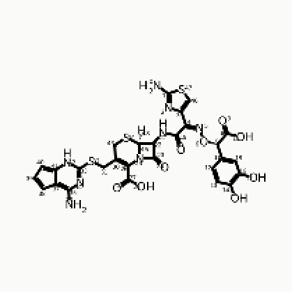 Nc1nc(/C(=N/O[C@@H](C(=O)O)c2ccc(O)c(O)c2)C(=O)NC2C(=O)N3C(C(=O)O)=C(CSc4nc(N)c5cccc-5[nH]4)CS[C@@H]23)cs1